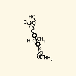 C#CCOC[C@H](COc1ccc(C(C)(C)c2ccc(OC[C@@H](CCl)OC(=O)CN)cc2)cc1)OC(=O)CCl